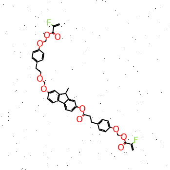 C=C(F)C(=O)OCOc1ccc(CCOCOc2ccc3c(c2)C(C)c2cc(OC(=O)CCc4ccc(OCOC(=O)C(=C)F)cc4)ccc2-3)cc1